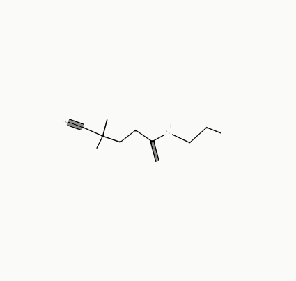 CC(C)(C#N)CCC(=O)NCCO